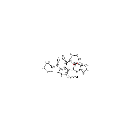 CCCCC[C@@H]1C=C[C@H](C(=O)N2CCCCC2)[C@@H](C(=O)N2CCCCC2)[C@@H]1c1ccc2c(c1)OCO2